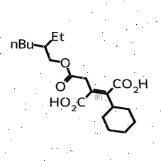 CCCCC(CC)COC(=O)C/C(C(=O)O)=C(\C(=O)O)C1CCCCC1